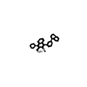 C/B=c1/c(-c2cccc(-c3cccc4ccccc34)c2)c2ccccc2c(-c2ccccc2)/c1=C/CCC